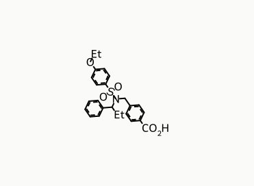 CCOc1ccc(S(=O)(=O)N(Cc2ccc(C(=O)O)cc2)C(CC)c2ccccc2)cc1